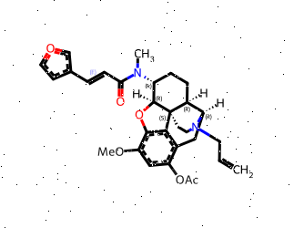 C=CCN1CC[C@]23c4c5c(OC(C)=O)cc(OC)c4O[C@H]2[C@H](N(C)C(=O)/C=C/c2ccoc2)CC[C@H]3[C@H]1C5